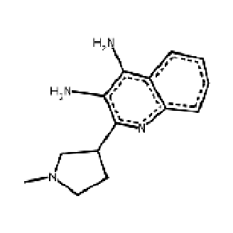 CN1CCC(c2nc3ccccc3c(N)c2N)C1